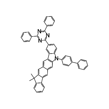 CC1(C)c2ccccc2-c2cc3cc4c(cc3cc21)c1cc(-c2nc(-c3ccccc3)nc(-c3ccccc3)n2)ccc1n4-c1ccc(-c2ccccc2)cc1